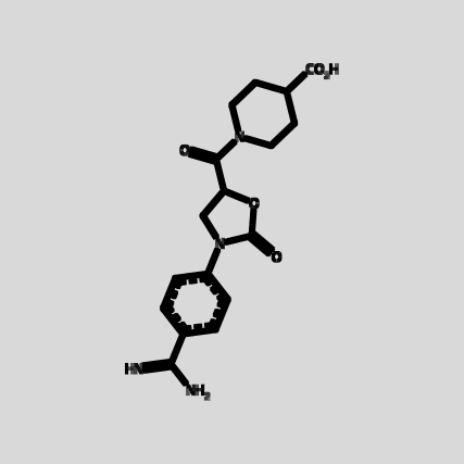 N=C(N)c1ccc(N2CC(C(=O)N3CCC(C(=O)O)CC3)OC2=O)cc1